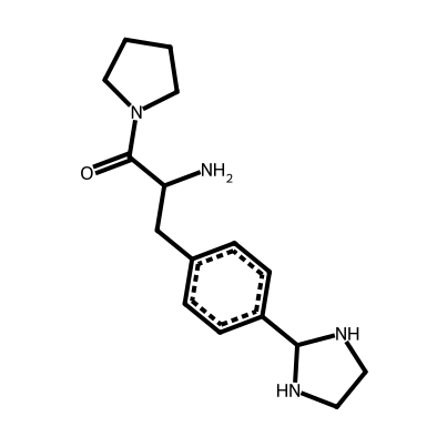 NC(Cc1ccc(C2NCCN2)cc1)C(=O)N1CCCC1